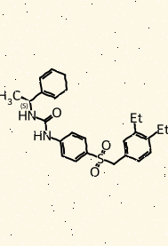 CCc1ccc(CS(=O)(=O)c2ccc(NC(=O)N[C@@H](C)C3=CCCC=C3)cc2)cc1CC